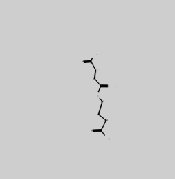 O=C(O)CCCNC(=O)CCC(=O)O